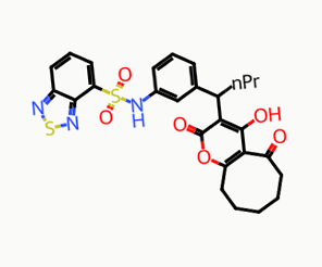 CCCC(c1cccc(NS(=O)(=O)c2cccc3nsnc23)c1)c1c(O)c2c(oc1=O)CCCCCC2=O